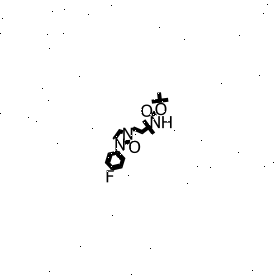 CC(C)(CCN1CCN(c2ccc(F)cc2)C1=O)NC(=O)OC(C)(C)C